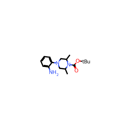 CC1CN(c2ccccc2N)CC(C)N1C(=O)OC(C)(C)C